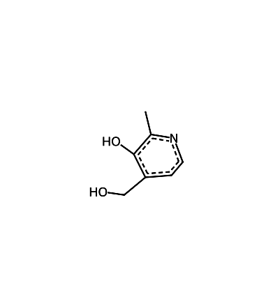 Cc1nccc(CO)c1O